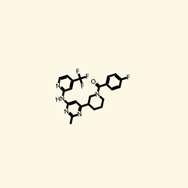 Cc1nc(Nc2cc(C(F)(F)F)ccn2)cc(C2CCCN(C(=O)c3ccc(F)cc3)C2)n1